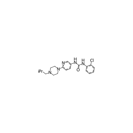 CC(C)CN1CCN(c2ccc(NC(=O)Nc3ccccc3Cl)cn2)CC1